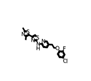 Cc1nc(C)c(-c2csc(Nc3ccc(CCOc4ccc(Cl)cc4F)cn3)n2)s1